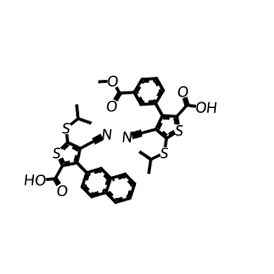 CC(C)Sc1sc(C(=O)O)c(-c2ccc3ccccc3c2)c1C#N.COC(=O)c1cccc(-c2c(C(=O)O)sc(SC(C)C)c2C#N)c1